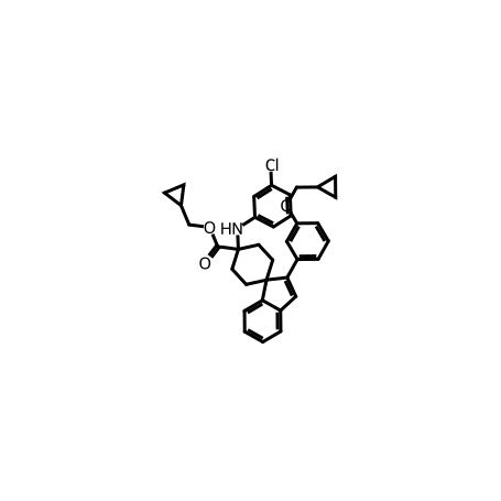 O=C(OCC1CC1)C1(Nc2cccc(Cl)c2)CCC2(CC1)C(c1cccc(OCC3CC3)c1)=Cc1ccccc12